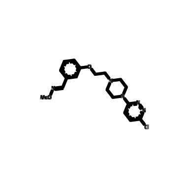 CON=Cc1cccc(OCCN2CCN(c3ccc(Cl)nn3)CC2)c1